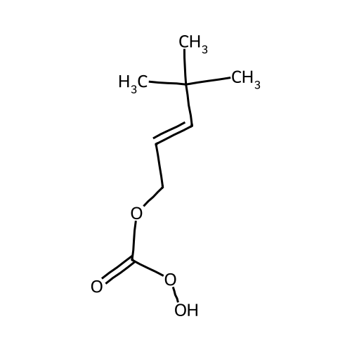 CC(C)(C)C=CCOC(=O)OO